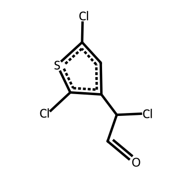 O=CC(Cl)c1cc(Cl)sc1Cl